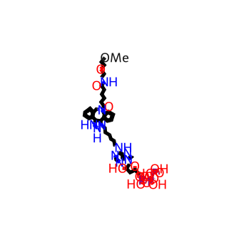 COCCOCCNC(=O)CCCCC(=O)N1Cc2ccccc2C2NNN(CCCCCCNc3ncnc4c3ncn4C3OC(COP(=O)(O)OP(=O)(O)OP(=O)(O)O)CC3O)C2c2ccccc21